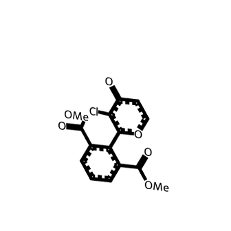 COC(=O)c1cccc(C(=O)OC)c1-c1occc(=O)c1Cl